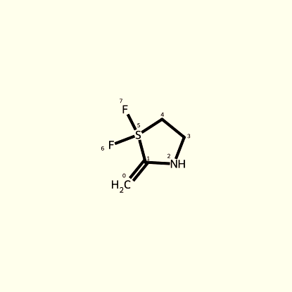 C=C1NCCS1(F)F